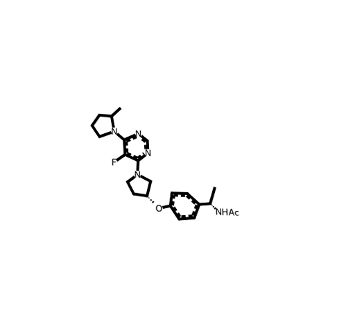 CC(=O)N[C@@H](C)c1ccc(O[C@@H]2CCN(c3ncnc(N4CCCC4C)c3F)C2)cc1